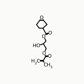 C=C(C)C(=O)OCC(O)COC(=O)C1CCC2OC2C1